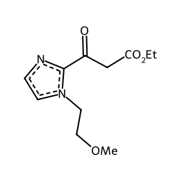 CCOC(=O)CC(=O)c1nccn1CCOC